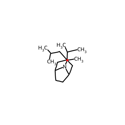 CC(C)CC(C)N1C2CCC1CC(C(C)C)C2